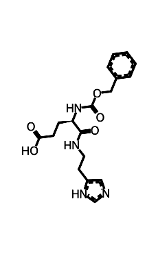 O=C(O)CC[C@@H](NC(=O)OCc1ccccc1)C(=O)NCCc1cnc[nH]1